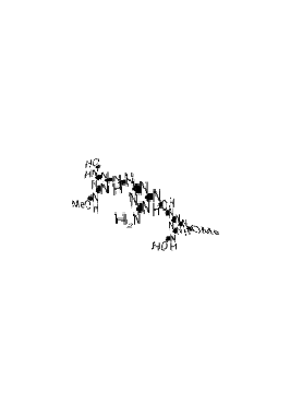 COCNc1nc(NCO)nc(NCNc2nc(N)nc(NCOCNc3nc(NCO)nc(NCOC)n3)n2)n1